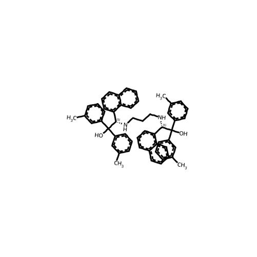 Cc1cccc(C(O)(c2cccc(C)c2)[C@@H](NCCCN[C@@H](c2cccc3ccccc23)C(O)(c2cccc(C)c2)c2cccc(C)c2)c2cccc3ccccc23)c1